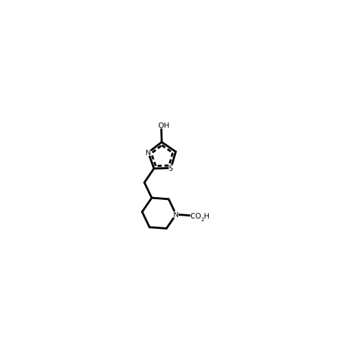 O=C(O)N1CCCC(Cc2nc(O)cs2)C1